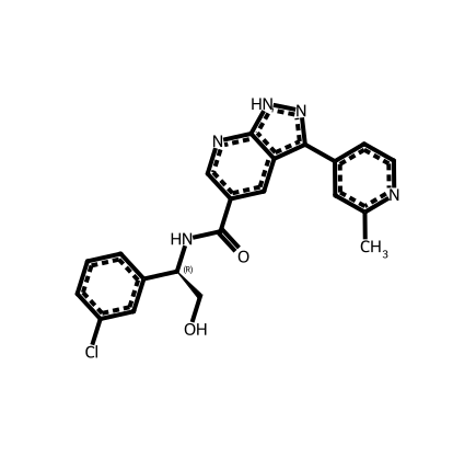 Cc1cc(-c2n[nH]c3ncc(C(=O)N[C@@H](CO)c4cccc(Cl)c4)cc23)ccn1